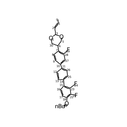 C/C=C/C1OCC(c2ccc(-c3ccc(-c4ccc(OCCCC)c(F)c4F)cc3)cc2F)CO1